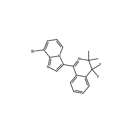 CC1(C)N=C(c2cnc3c(Br)cccn23)c2ccccc2C1(F)F